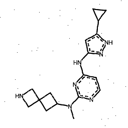 CN(c1nccc(Nc2cc(C3CC3)[nH]n2)n1)C1CC2(CNC2)C1